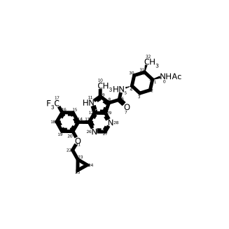 CC(=O)N[C@H]1CC[C@H](NC(=O)c2c(C)[nH]c3c(-c4cc(C(F)(F)F)ccc4OCC4CC4)ncnc23)C[C@H]1C